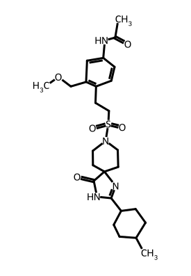 COCc1cc(NC(C)=O)ccc1CCS(=O)(=O)N1CCC2(CC1)N=C(C1CCC(C)CC1)NC2=O